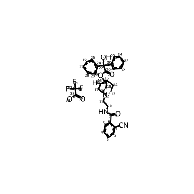 N#Cc1ccccc1C(=O)NCC[N+]12CCC(CC1)[C@@H](OC(=O)C(O)(c1ccccc1)c1ccccc1)C2.O=C([O-])C(F)(F)F